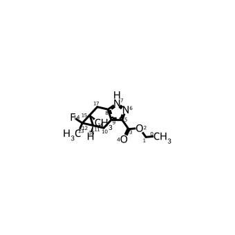 CCOC(=O)c1n[nH]c2c1C[C@@H]1C(C)(F)[C@]1(C)C2